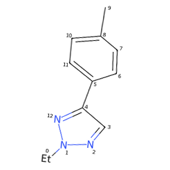 CCn1ncc(-c2ccc(C)cc2)n1